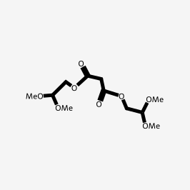 COC(COC(=O)CC(=O)OCC(OC)OC)OC